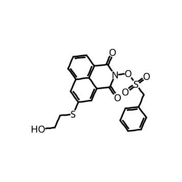 O=C1c2cccc3cc(SCCO)cc(c23)C(=O)N1OS(=O)(=O)Cc1ccccc1